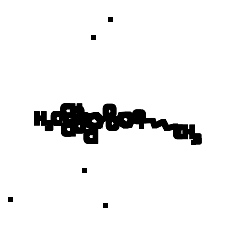 CCCCCCCOc1ccc(OC(=O)c2ccc(OC(=O)C(Cl)C(C)C)c(Cl)c2)cc1